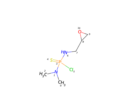 CN(C)P(=S)(Cl)NCC1CO1